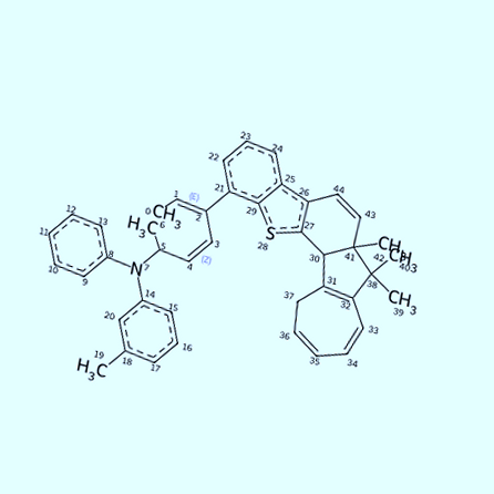 C/C=C(\C=C/C(C)N(c1ccccc1)c1cccc(C)c1)c1cccc2c3c(sc12)C1C2=C(C=CC=CC2)C(C)(C)C1(C)C=C3